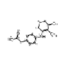 CC1=C(Nc2ccc(CC(=O)O)cc2)CCCC1=O